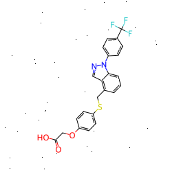 O=C(O)COc1ccc(SCc2cccc3c2cnn3-c2ccc(C(F)(F)F)cc2)cc1